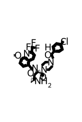 COc1ccc(C2=N[C@@H](C(=O)N3CCN(CC(O)c4ccc(Cl)cc4)CC3)C([C@H](C)N)O2)c2ccc(C(F)(F)F)nc12